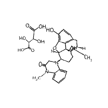 CN1C(=O)CN([C@@H]2CCC3(O)[C@H]4Cc5ccc(O)c6c5[C@@]3(CCN4C)[C@H]2O6)c2ccccc21.O=C(O)C(O)C(O)C(=O)O